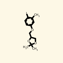 Cc1cc(OCC2COC(C)(C)O2)ccc1I